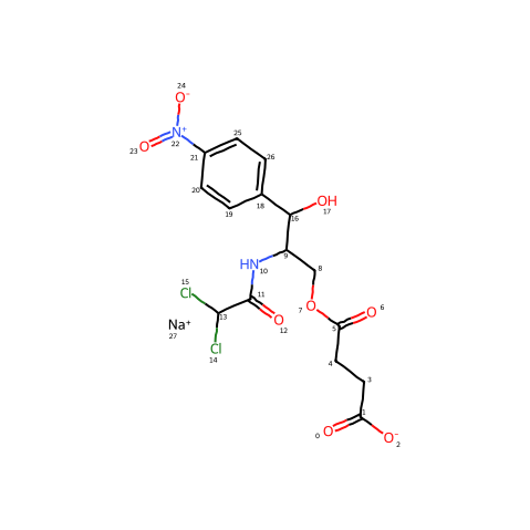 O=C([O-])CCC(=O)OCC(NC(=O)C(Cl)Cl)C(O)c1ccc([N+](=O)[O-])cc1.[Na+]